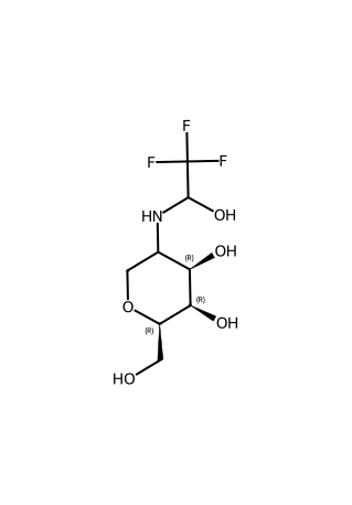 OC[C@H]1OCC(NC(O)C(F)(F)F)[C@@H](O)[C@H]1O